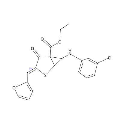 CCOC(=O)C12C(=O)/C(=C/c3ccco3)SC1C2Nc1cccc(Cl)c1